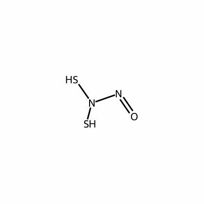 O=NN(S)S